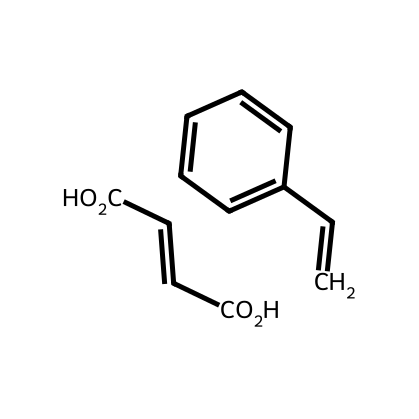 C=Cc1ccccc1.O=C(O)C=CC(=O)O